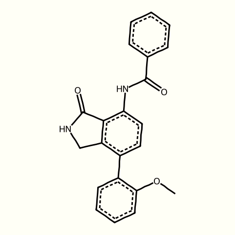 COc1ccccc1-c1ccc(NC(=O)c2ccccc2)c2c1CNC2=O